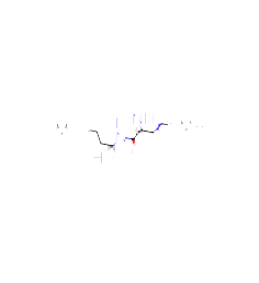 CSCC[C@@H](C)NC(=O)[C@H](N)CCSC